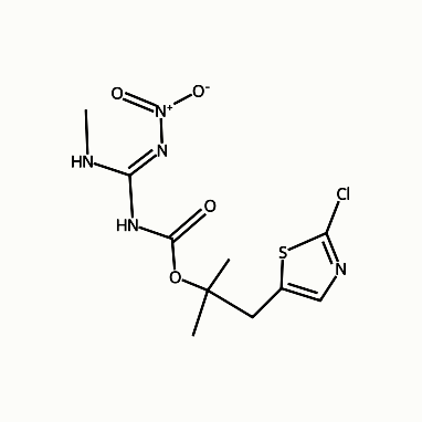 CNC(=N[N+](=O)[O-])NC(=O)OC(C)(C)Cc1cnc(Cl)s1